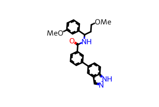 COCCC(NC(=O)c1cccc(-c2ccc3[nH]ncc3c2)c1)c1cccc(OC)c1